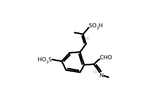 C/N=C(\C=O)c1ccc(S(=O)(=O)O)cc1/C=C(\C)S(=O)(=O)O